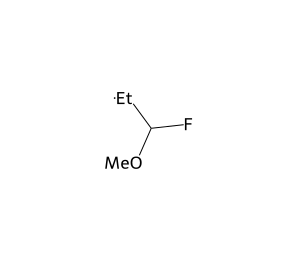 C[CH]C(F)OC